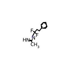 CC(=N)/N=C/C(F)(F)CCc1ccccc1